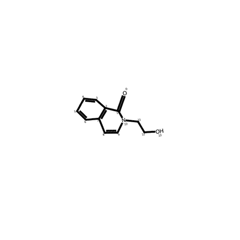 O=c1c2ccc[c]c2ccn1CCO